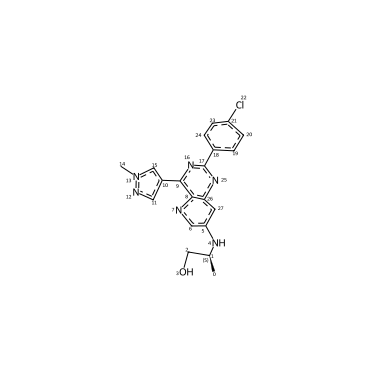 C[C@@H](CO)Nc1cnc2c(-c3cnn(C)c3)nc(-c3ccc(Cl)cc3)nc2c1